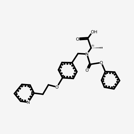 C[C@@H](C(=O)O)N(Cc1ccc(OCCc2ccccn2)cc1)C(=O)Oc1ccccc1